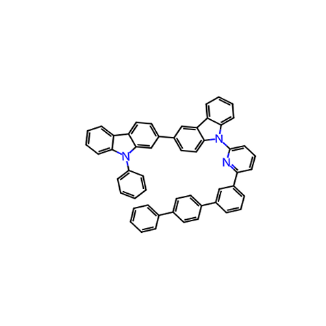 c1ccc(-c2ccc(-c3cccc(-c4cccc(-n5c6ccccc6c6cc(-c7ccc8c9ccccc9n(-c9ccccc9)c8c7)ccc65)n4)c3)cc2)cc1